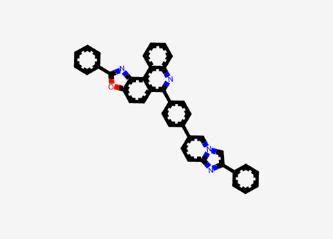 c1ccc(-c2cn3cc(-c4ccc(-c5nc6ccccc6c6c5ccc5oc(-c7ccccc7)nc56)cc4)ccc3n2)cc1